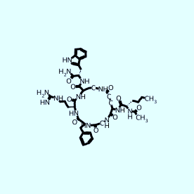 CCCC[C@H](NC(C)=O)C(=O)NC1CCC(=O)NCCC(C(=O)N[C@@H](Cc2c[nH]c3ccccc23)C(N)=O)NC(=O)[C@H](CCCNC(=N)N)NC(=O)C(Cc2ccccc2)NC(=O)CNC1=O